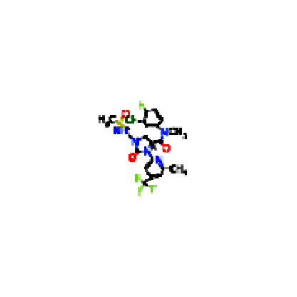 Cc1cc(C(F)(F)F)cc(N2C(=O)N(CCS(C)(=N)=O)C[C@H]2C(=O)N(C)c2ccc(F)c(Cl)c2)n1